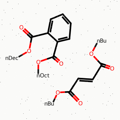 CCCCCCCCCCOC(=O)c1ccccc1C(=O)OCCCCCCCC.CCCCOC(=O)C=CC(=O)OCCCC